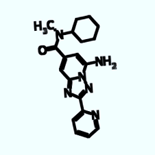 CN(C(=O)c1cc(N)n2nc(-c3ccccn3)nc2c1)C1CCCCC1